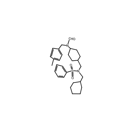 Cc1ccc(CN(C=O)C2CCC(CN(CC3CCCCC3)S(=O)(=O)c3ccccc3)CC2)cc1